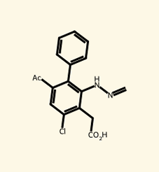 C=NNc1c(CC(=O)O)c(Cl)cc(C(C)=O)c1-c1ccccc1